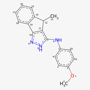 COc1ccc(Nc2[nH]nc3c2C(C)c2ccccc2-3)cc1